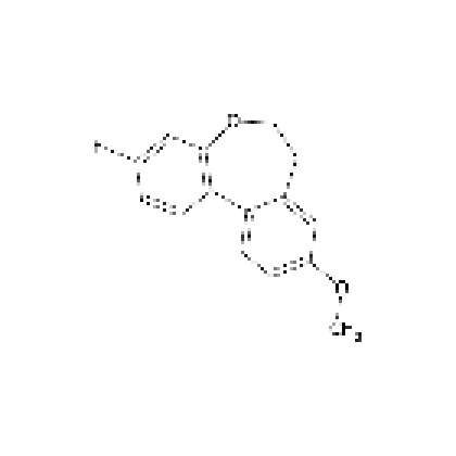 COc1ccc2c(c1)CCOc1cc(F)ccc1-2